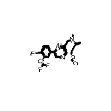 CC(COC=O)N(C)Cc1cncc(-c2ccc(F)c(OC(F)F)c2)n1